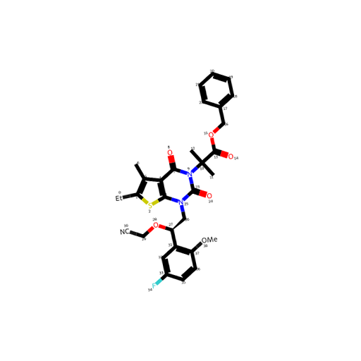 CCc1sc2c(c1C)c(=O)n(C(C)(C)C(=O)OCc1ccccc1)c(=O)n2C[C@H](OCC#N)c1cc(F)ccc1OC